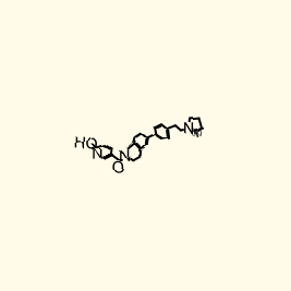 C[C@@H]1CCCN1CCc1ccc(-c2ccc3c(c2)CCN(C(=O)c2ccc(O)nc2)C3)cc1